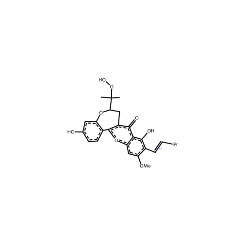 COc1cc2oc3c(c(=O)c2c(O)c1/C=C/C(C)C)CC(C(C)(C)OO)Oc1cc(O)ccc1-3